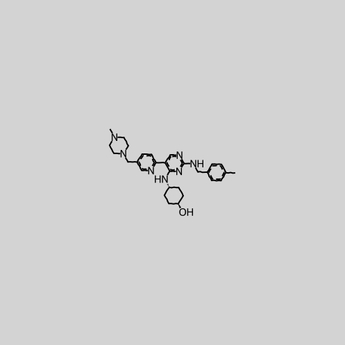 Cc1ccc(CNc2ncc(-c3ccc(CN4CCN(C)CC4)cn3)c(N[C@H]3CC[C@H](O)CC3)n2)cc1